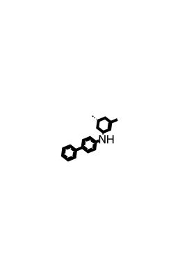 CC1=C[C@H](Nc2ccc(-c3ccccc3)cc2)C[C@H](C)C1